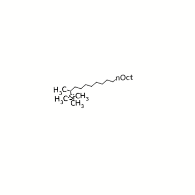 CCCCCCCCCCCCCCCCC(C)[Si](C)(C)C